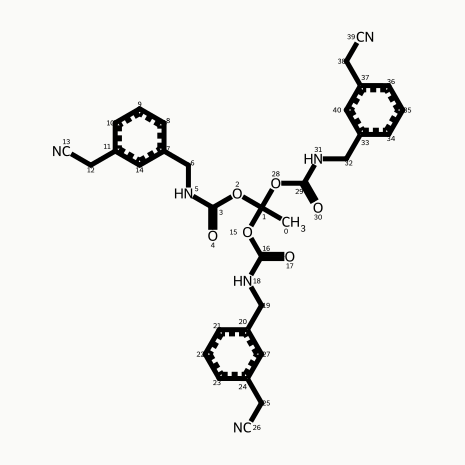 CC(OC(=O)NCc1cccc(CC#N)c1)(OC(=O)NCc1cccc(CC#N)c1)OC(=O)NCc1cccc(CC#N)c1